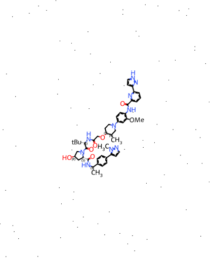 COc1cc(N2CC[C@H](OCC(=O)N[C@H](C(=O)N3C[C@H](O)C[C@H]3C(=O)N[C@@H](C)c3ccc(-c4ccnn4C)cc3)C(C)(C)C)[C@H](C)C2)ccc1NC(=O)c1cccc(-c2cc[nH]n2)n1